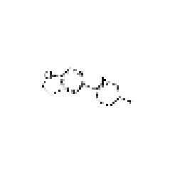 C[C@H]1CCC(c2ccc3c(c2)CCO3)=NC1